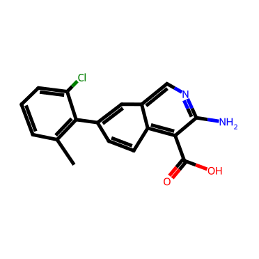 Cc1cccc(Cl)c1-c1ccc2c(C(=O)O)c(N)ncc2c1